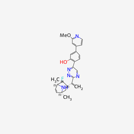 C=C(c1ncc(-c2ccc(-c3ccnc(OC)c3)cc2O)nn1)[C@@H]1C[C@@]2(C)C=C[C@](C)(N2)[C@@H]1F